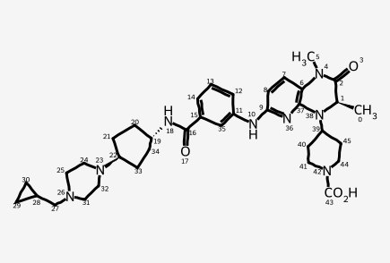 C[C@@H]1C(=O)N(C)c2ccc(Nc3cccc(C(=O)N[C@H]4CC[C@H](N5CCN(CC6CC6)CC5)CC4)c3)nc2N1C1CCN(C(=O)O)CC1